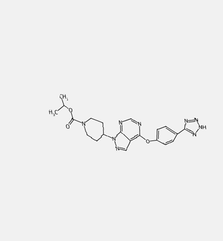 CC(C)OC(=O)N1CCC(n2ncc3c(Oc4ccc(-c5nn[nH]n5)cc4)ncnc32)CC1